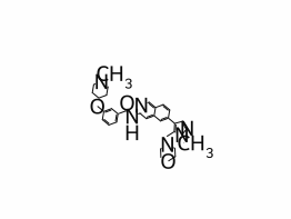 CN1CCC(Oc2cccc(C(=O)Nc3cc4cc(-c5cnn(C)c5CN5CCOCC5)ccc4cn3)c2)CC1